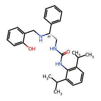 CC(C)c1cccc(C(C)C)c1NC(=O)NC[C@H](NCc1ccccc1O)c1ccccc1